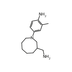 Cc1cc(N2CCCCCC(CN)C2)ccc1N